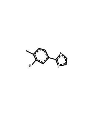 Cc1ccc(-c2nccs2)cc1Br